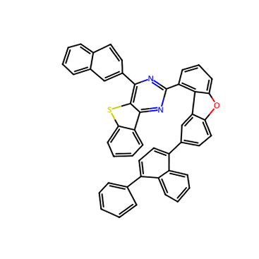 c1ccc(-c2ccc(-c3ccc4oc5cccc(-c6nc(-c7ccc8ccccc8c7)c7sc8ccccc8c7n6)c5c4c3)c3ccccc23)cc1